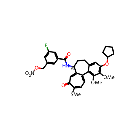 COc1c(OC2CCCC2)cc2c(c1OC)-c1ccc(SC)c(=O)cc1[C@@H](NC(=O)c1cc(F)cc(CO[N+](=O)[O-])c1)CC2